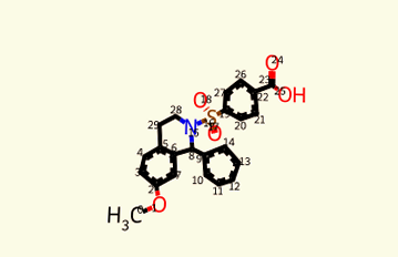 COc1ccc2c(c1)C(c1ccccc1)N(S(=O)(=O)c1ccc(C(=O)O)cc1)CC2